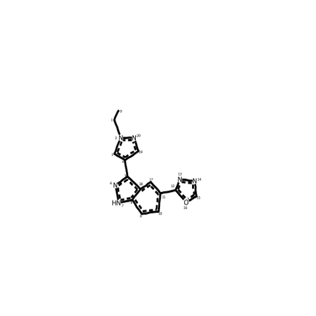 CCn1cc(-c2n[nH]c3ccc(-c4nnco4)cc23)cn1